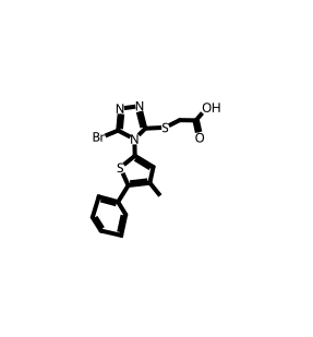 Cc1cc(-n2c(Br)nnc2SCC(=O)O)sc1-c1ccccc1